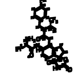 CC(C)[C@@H](N)C(=O)Nc1ccc2c(c1CC(=O)N(Cc1ccc(F)cc1)[C@@H](C)C(F)(F)F)CCC21OC(=O)NC1=O